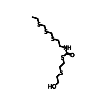 CCSCSCSCCNC(=O)SCCSCCO